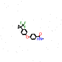 CNC(=O)c1ccc(Oc2ccc(C3(C(F)(F)F)CC3)cc2)cc1